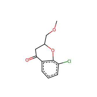 COCC1CC(=O)c2cccc(Cl)c2O1